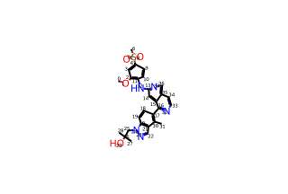 COc1cc(S(C)(=O)=O)ccc1Nc1cc2c(-c3ccc4c(cnn4CC(C)(C)O)c3C)nccc2cn1